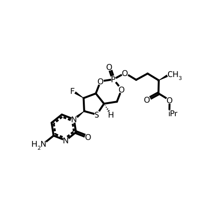 CC(C)OC(=O)[C@H](C)CCOP1(=O)OC[C@H]2S[C@@H](n3ccc(N)nc3=O)[C@@H](F)C2O1